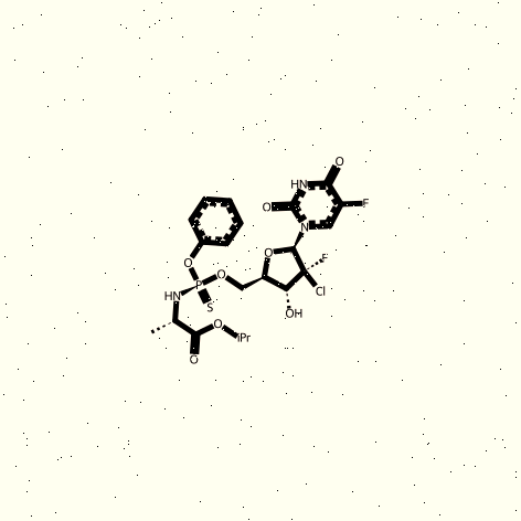 CC(C)OC(=O)[C@H](C)N[P@](=S)(OC[C@H]1O[C@@H](n2cc(F)c(=O)[nH]c2=O)[C@@](F)(Cl)[C@@H]1O)Oc1ccccc1